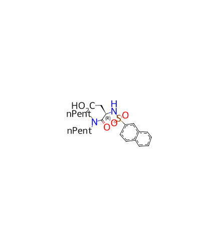 CCCCCN(CCCCC)C(=O)[C@@H](CC(=O)O)NS(=O)(=O)c1ccc2ccccc2c1